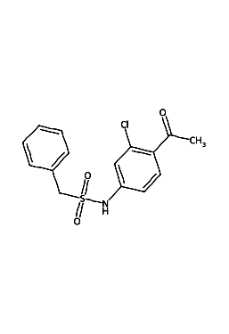 CC(=O)c1ccc(NS(=O)(=O)Cc2ccccc2)cc1Cl